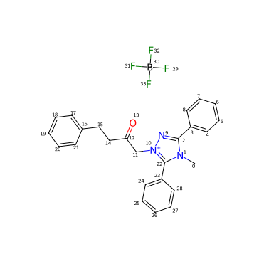 Cn1c(-c2ccccc2)n[n+](CC(=O)CCc2ccccc2)c1-c1ccccc1.F[B-](F)(F)F